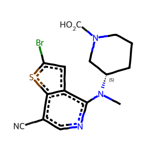 CN(c1ncc(C#N)c2sc(Br)cc12)[C@H]1CCCN(C(=O)O)C1